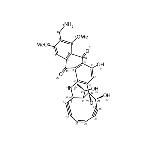 COc1cc2c(c(OC)c1CN)C(=O)c1c(O)cc3c(c1C2=O)N[C@H]1C#C/C=C\C#C[C@H](O)[C@@]32O[C@@]12[C@@H](C)O